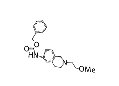 COCCN1CCc2cc(NC(=O)OCc3ccccc3)ccc2C1